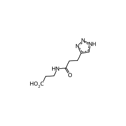 O=C(O)CCNC(=O)CCc1c[nH]nn1